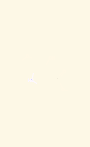 COC(=O)C1=C(O)C2(CCOC2)NC1